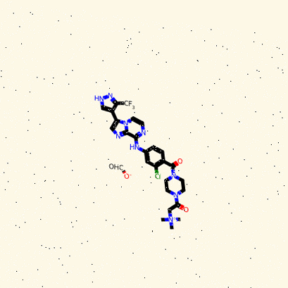 C[N+](C)(C)CC(=O)N1CCN(C(=O)c2ccc(Nc3nccn4c(-c5c[nH]nc5C(F)(F)F)cnc34)cc2Cl)CC1.O=C[O-]